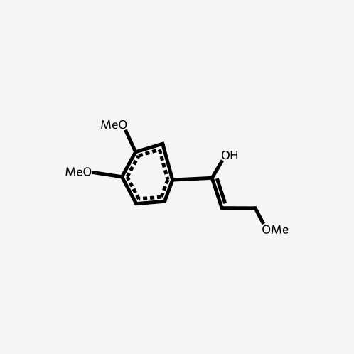 COCC=C(O)c1ccc(OC)c(OC)c1